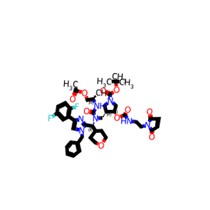 CC(=O)OC[C@@H](C)NC(=O)N(C[C@@H]1CN(C(=O)OC(C)(C)C)C[C@H]1OC(=O)NCCN1C(=O)C=CC1=O)[C@@H](c1nc(-c2cc(F)ccc2F)cn1Cc1ccccc1)C1CCOCC1